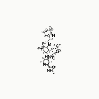 C[C@H]1[C@@H](c2ccc(F)c(F)c2OCCN2CCO[C@@H]3C[C@@H]32)[C@H](C(=O)Nc2ccnc(C(N)=O)c2)O[C@@]1(C)C(F)(F)F